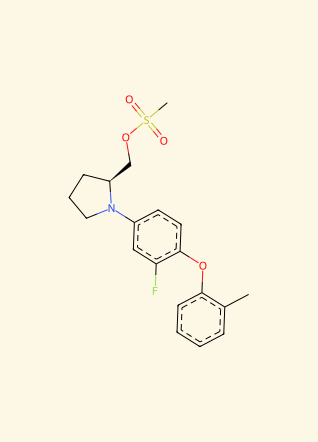 Cc1ccccc1Oc1ccc(N2CCC[C@H]2COS(C)(=O)=O)cc1F